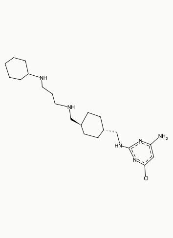 Nc1cc(Cl)nc(NC[C@H]2CC[C@H](CNCCCNC3CCCCC3)CC2)n1